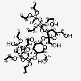 CCO[Si](C)(O[C@H]1[C@H](O)[C@@H](O)[C@@H](OC2(CO)O[C@H](CO)[C@@H](O)[C@@H]2O[Si](OCC)(OCC)O[Si](C)(OCC)OCC)O[C@@H]1CO)O[Si](C)(OCC)O[Si](O)(OCC)OCC